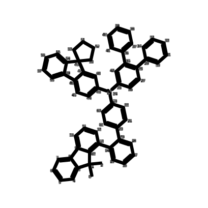 CC1(C)c2ccccc2-c2cccc(-c3ccccc3-c3ccc(N(c4ccc(-c5ccccc5)c(-c5ccccc5)c4)c4ccc5c(c4)C4(CCCC4)c4ccccc4-5)cc3)c21